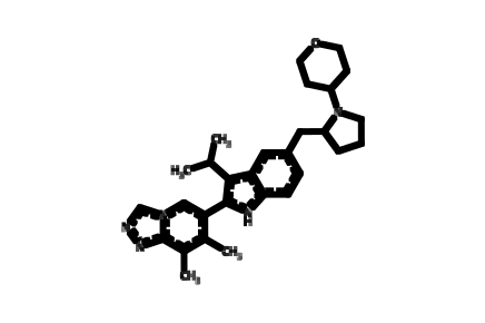 Cc1c(-c2[nH]c3ccc(CC4CCCN4C4CCOCC4)cc3c2C(C)C)cn2cnnc2c1C